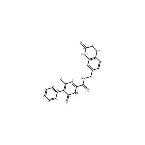 Cc1nc(C(=O)NCc2ccc3c(c2)NC(=O)CO3)[nH]c(=O)c1-c1ccccc1